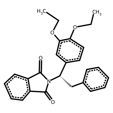 CCOc1ccc([C@H](Cc2ccccc2)N2C(=O)c3ccccc3C2=O)cc1OCC